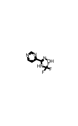 ON=C(NC(F)(F)F)c1ccncn1